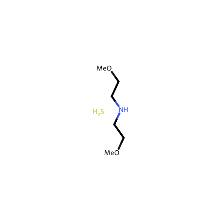 COCCNCCOC.S